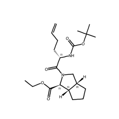 C=CCC[C@H](NC(=O)OC(C)(C)C)C(=O)N1C[C@@H]2CCC[C@@H]2[C@H]1C(=O)OCC